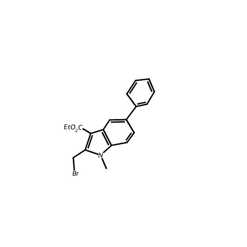 CCOC(=O)c1c(CBr)n(C)c2ccc(-c3ccccc3)cc12